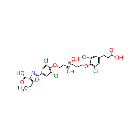 CCc1oc(-c2cc(Cl)c(OCC[C@@H](O)[C@H](O)CCOc3c(Cl)cc(CCC(=O)O)cc3Cl)c(Cl)c2)nc1C(=O)O